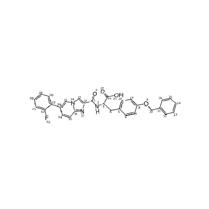 O=C(NC(Cc1ccc(OCc2ccccc2)cc1)C(=O)O)c1cn2cc(-c3ccccc3F)ccc2n1